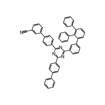 N#Cc1cccc(-c2ccc(-c3nc(-c4ccc(-c5ccccc5)cc4)nc(-c4cccc(-c5cccc(-c6ccccc6)c5-c5ccccc5)c4)n3)cc2)c1